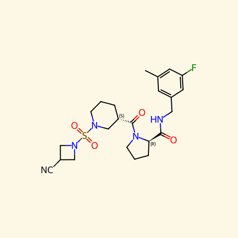 Cc1cc(F)cc(CNC(=O)[C@H]2CCCN2C(=O)[C@H]2CCCN(S(=O)(=O)N3CC(C#N)C3)C2)c1